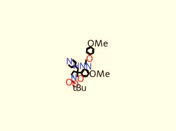 COc1ccc(OCc2nc3c(OC)ccc(C4(Cc5ccncc5)CCN(C(=O)OC(C)(C)C)C4=O)c3[nH]2)cc1